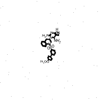 COc1ccc(-c2cccc(S(=O)(=O)N3CC(N4C(N)=Nc5[nH]ncc5C4N)Cc4ccccc43)c2)cc1